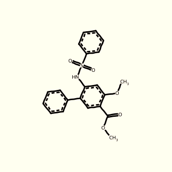 COC(=O)c1cc(-c2ccccc2)c(NS(=O)(=O)c2ccccc2)cc1OC